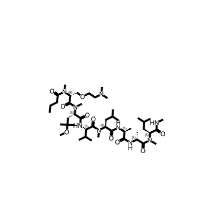 CCCC(=O)N(C)[C@H](COCCN(C)C)C(=O)N(C)[C@@H](CC(C)(C)OC)C(=O)N[C@H](C(=O)N(C)[C@@H](CC(C)C)C(=O)N[C@@H](C)C(=O)N[C@H](C)C(=O)N(C)[C@@H](CC(C)C)C(=O)NC)C(C)C